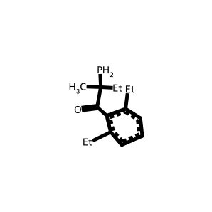 CCc1cccc(CC)c1C(=O)C(C)(P)CC